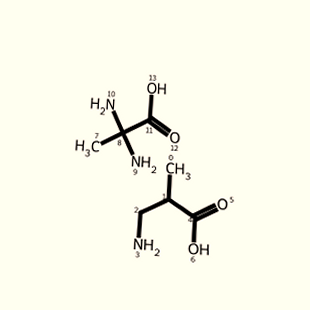 CC(CN)C(=O)O.CC(N)(N)C(=O)O